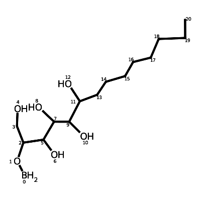 BOC(CO)C(O)C(O)C(O)C(O)CCCCCCCC